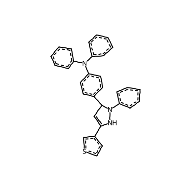 C1=C(c2ccsc2)NN(c2ccccc2)C1c1ccc(N(c2ccccc2)c2ccccc2)cc1